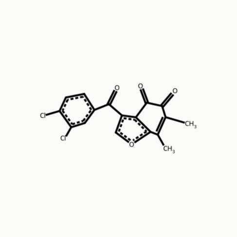 CC1=C(C)c2occ(C(=O)c3ccc(Cl)c(Cl)c3)c2C(=O)C1=O